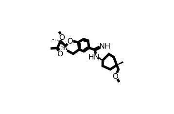 COC[C@]1(C)CC[C@@H](NC(=N)c2ccc3c(c2)CC[C@H]([C@](C)(OC)C(C)=O)O3)CC1